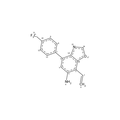 C=Cc1c(N)cc(-c2ccc(C(F)(F)F)cc2)c2ncoc12